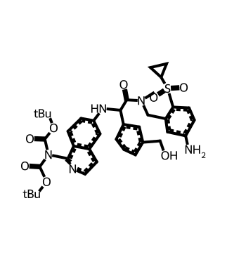 CN(Cc1cc(N)ccc1S(=O)(=O)C1CC1)C(=O)C(Nc1ccc2c(N(C(=O)OC(C)(C)C)C(=O)OC(C)(C)C)nccc2c1)c1cccc(CO)c1